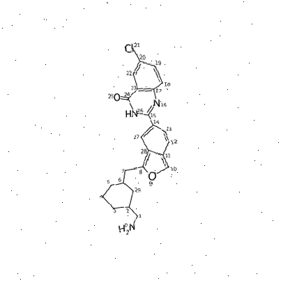 NCC1CCCC(Cc2occ3ccc(-c4nc5ccc(Cl)cc5c(=O)[nH]4)cc23)C1